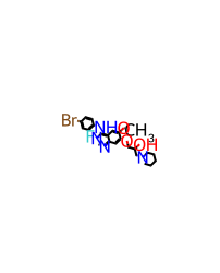 COc1cc2c(Nc3ccc(Br)cc3F)ncnc2cc1OCC(O)CN1CCCCC1